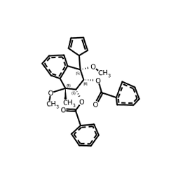 CO[C@@]1(C2C=CC=C2)c2ccccc2[C@@](C)(OC)[C@@H](OC(=O)c2ccccc2)[C@H]1OC(=O)c1ccccc1